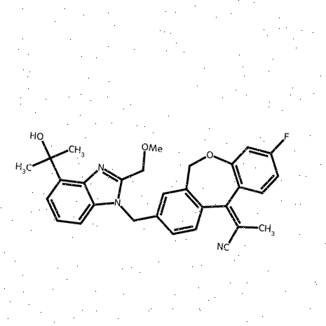 COCc1nc2c(C(C)(C)O)cccc2n1Cc1ccc2c(c1)COc1cc(F)ccc1/C2=C(\C)C#N